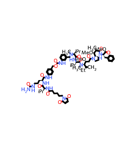 C=C(CC)[C@@H]([C@@H](CC(=O)N1CCC[C@H]1[C@H](OC)[C@@H](C)C(=O)N[C@@H](Cc1ccccc1)C(=O)OC)OC)N(C)C(=O)[C@@H](NC(=O)[C@H](C(C)C)N(C)Cc1cccc(NC(=O)OCc2ccc(NC(=O)[C@H](CCCNC(N)=O)NC(=O)[C@@H](NC(=O)CCCCCN3C(=O)C=CC3=O)C(C)C)cc2)c1)C(C)C